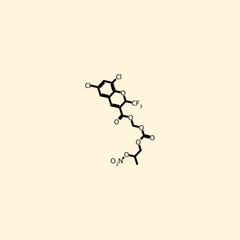 CC(COC(=O)OCOC(=O)C1=Cc2cc(Cl)cc(Cl)c2OC1C(F)(F)F)O[N+](=O)[O-]